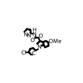 COc1ccc2c(c1)c(C(=O)C(=O)Nc1cccnn1)cn2Cc1ccc(Cl)cc1